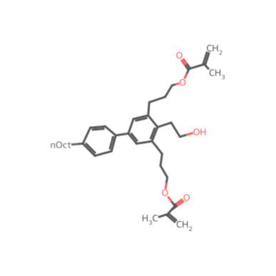 C=C(C)C(=O)OCCCc1cc(-c2ccc(CCCCCCCC)cc2)cc(CCCOC(=O)C(=C)C)c1CCO